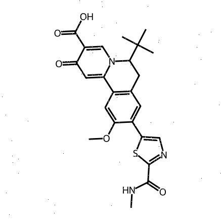 CNC(=O)c1ncc(-c2cc3c(cc2OC)-c2cc(=O)c(C(=O)O)cn2C(C(C)(C)C)C3)s1